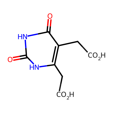 O=C(O)Cc1[nH]c(=O)[nH]c(=O)c1CC(=O)O